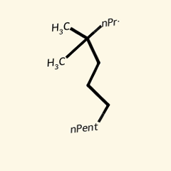 CC[CH]C(C)(C)CCCCCCCC